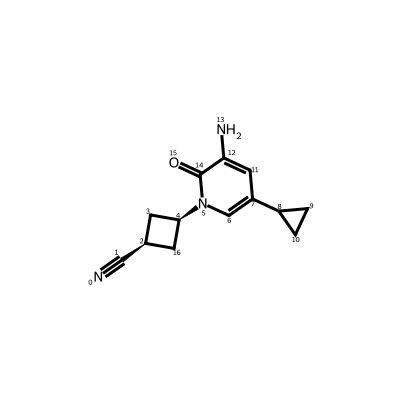 N#C[C@H]1C[C@@H](n2cc(C3CC3)cc(N)c2=O)C1